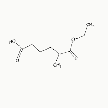 CCOC(=O)C(C)CCCC(=O)O